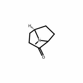 CN1C2CC[C@@H]1CCC2=O